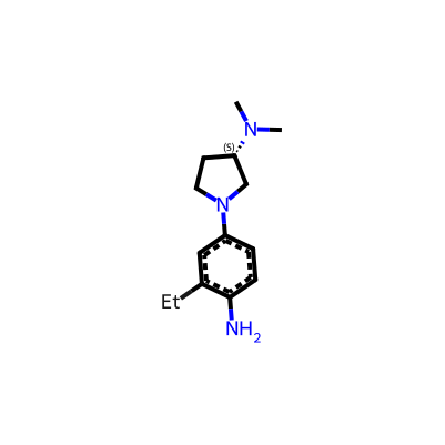 CCc1cc(N2CC[C@H](N(C)C)C2)ccc1N